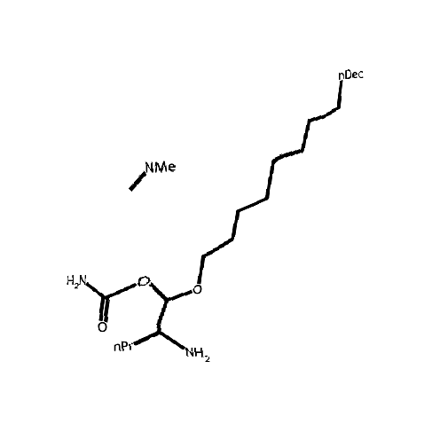 CCCCCCCCCCCCCCCCCCOC(OC(N)=O)C(N)CCC.CNC